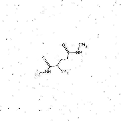 CNC(=O)CCC(N)C(=O)NC